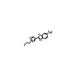 FCCn1cc(-c2nc3ccc(SF)cc3s2)cn1